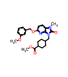 COC(=O)C1CCC(Cn2c(=O)n(C)c3ccc(OCc4cccc(OC)c4)nc32)CC1